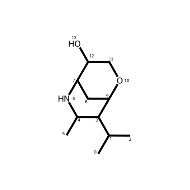 CC(C)C1C(C)NC2CC1OCC2O